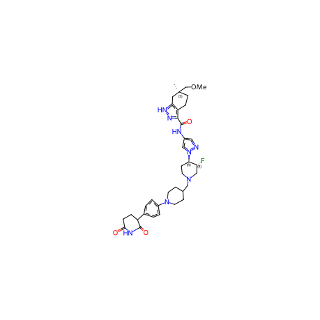 COC[C@@]1(C)CCc2c(C(=O)Nc3cnn([C@@H]4CCN(CC5CCN(c6ccc(C7CCC(=O)NC7=O)cc6)CC5)C[C@H]4F)c3)n[nH]c2C1